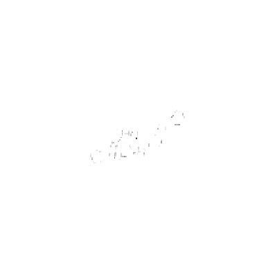 CC(=O)NC(NC(=O)CC(=O)OCc1ccccc1)C(=O)NCc1ccccc1